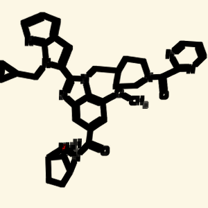 COc1cc(C(=O)N2CC3CCC2[C@@H]3N)cc2nc(-c3cc4cccnc4n3CC3CC3)n(CC3CCN(C(=O)c4ncccn4)CC3)c12